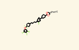 CCCCCC1COC(C2CCC(c3ccc(CCCCC4CCC(C(F)(F)Oc5cc(F)c(F)c(F)c5)CC4)c(F)c3)CC2)OC1